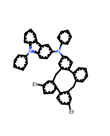 CCc1ccc2c(c1)Cc1ccccc1-c1ccc(N(c3ccccc3)c3ccc4c(c3)c3ccccc3n4-c3ccccc3)cc1Cc1cc(CC)ccc1-2